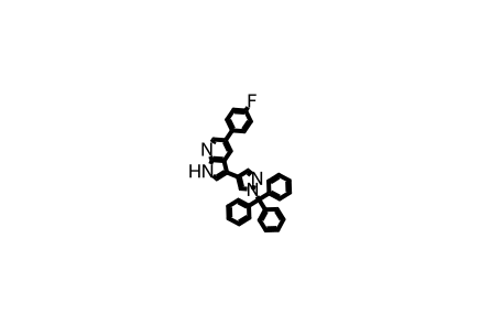 Fc1ccc(-c2cnc3[nH]cc(-c4cnn(C(c5ccccc5)(c5ccccc5)c5ccccc5)c4)c3c2)cc1